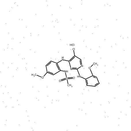 COc1ccc(Nc2nc(Nc3ccccc3OC)ncc2Cl)c(NS(C)(=O)=O)c1.Cl